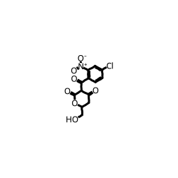 O=C1CC(CO)OC(=O)C1C(=O)c1ccc(Cl)cc1[N+](=O)[O-]